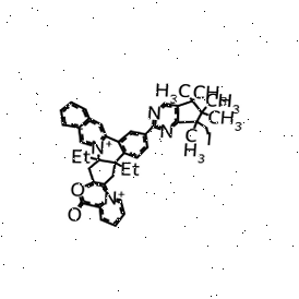 CCC12Cc3c(oc(=O)c4cccc[n+]34)CC1(CC)[n+]1cc3ccccc3cc1-c1cc(-c3ncc4c(n3)C(C)(CI)C(C)(C)C4(C)C)ccc12